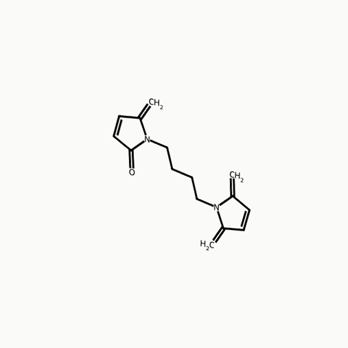 C=C1C=CC(=O)N1CCCCn1c(=C)ccc1=C